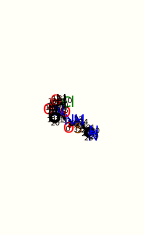 O=C(NCC(=O)C1(N2C[C@H](Cl)[C@H]3OCC(=O)[C@H]32)CCCCC1)c1ncc(-c2ccnnc2)s1